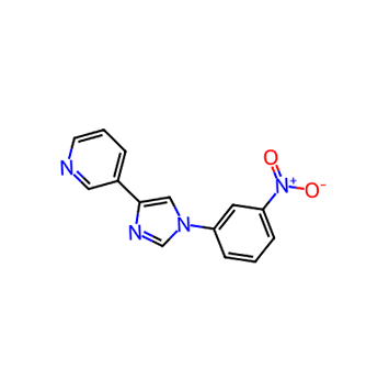 O=[N+]([O-])c1cccc(-n2cnc(-c3cccnc3)c2)c1